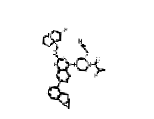 C=C(F)C(=O)N1CCN(c2nc(OC[C@@]34CCCN3C[C@H](F)C4)nc3cc(-c4cccc5c4CC4CC54)ccc23)C[C@@H]1CC#N